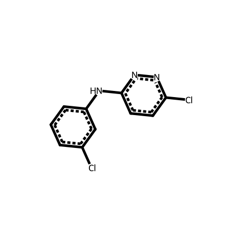 Clc1cccc(Nc2ccc(Cl)nn2)c1